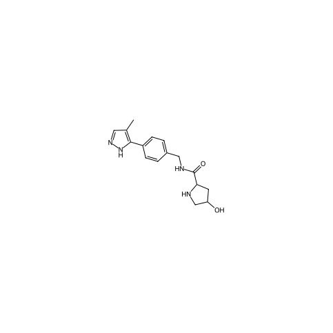 Cc1cn[nH]c1-c1ccc(CNC(=O)C2CC(O)CN2)cc1